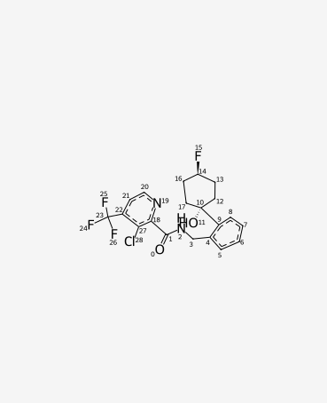 O=C(NCc1ccccc1[C@]1(O)CC[C@H](F)CC1)c1nccc(C(F)(F)F)c1Cl